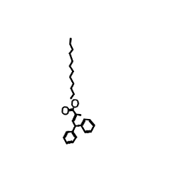 CCCCCCCCCCCCOC(=O)C(C)=CC(c1ccccc1)c1ccccc1